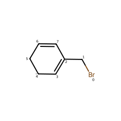 BrCC1=C[CH]CC=C1